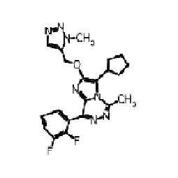 Cc1nnc(-c2cccc(F)c2F)c2nc(OCc3cnnn3C)c(C3CCCC3)n12